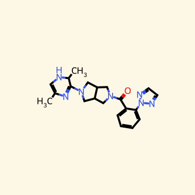 CC1=CNC(C)C(N2CC3CN(C(=O)c4ccccc4-n4nccn4)CC3C2)=N1